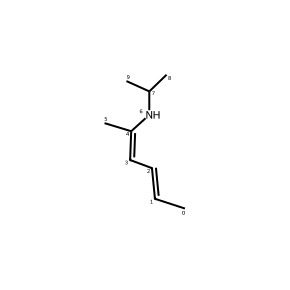 C/C=C/C=C(/C)NC(C)C